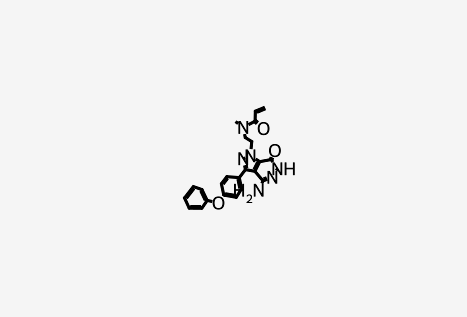 C=CC(=O)N(C)CCn1nc(-c2ccc(Oc3ccccc3)cc2)c2c(N)n[nH]c(=O)c21